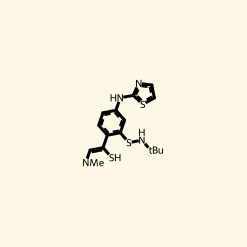 CN/C=C(\S)c1ccc(Nc2nccs2)cc1SNC(C)(C)C